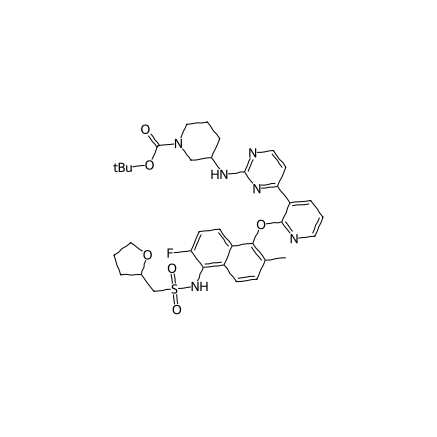 Cc1ccc2c(NS(=O)(=O)CC3CCCO3)c(F)ccc2c1Oc1ncccc1-c1ccnc(NC2CCCN(C(=O)OC(C)(C)C)C2)n1